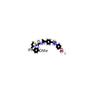 COc1ccc(C(C)C)c(N2/C(=N/C(=O)NC3CC3c3ccc(-c4ncn(-c5ccc(OC(F)(F)F)cc5)n4)cc3)SCCC2C)c1